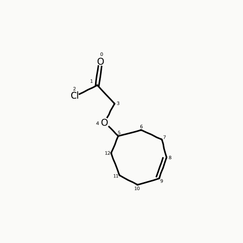 O=C(Cl)COC1CCC=CCCC1